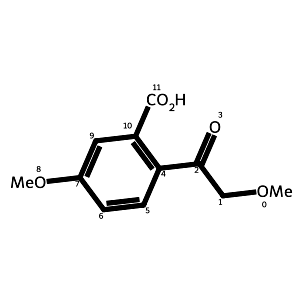 COCC(=O)c1ccc(OC)cc1C(=O)O